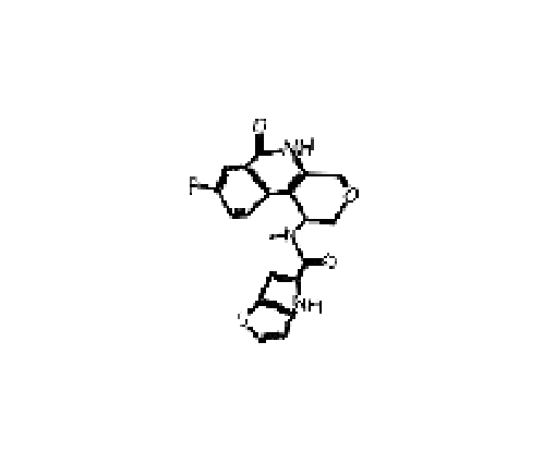 CN(C(=O)c1cc2sccc2[nH]1)C1COCc2[nH]c(=O)c3cc(F)ccc3c21